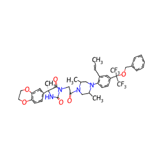 CC=Cc1cc(C(OCc2ccccc2)(C(F)(F)F)C(F)(F)F)ccc1N1CC(C)N(C(=O)CN2C(=O)N[C@@](C)(c3ccc4c(c3)OCCO4)C2=O)CC1C